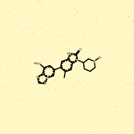 CCN1CCCC(n2c(=O)[nH]c3cc(-c4cc(OC)c5ncnn5c4)c(C)cc32)C1